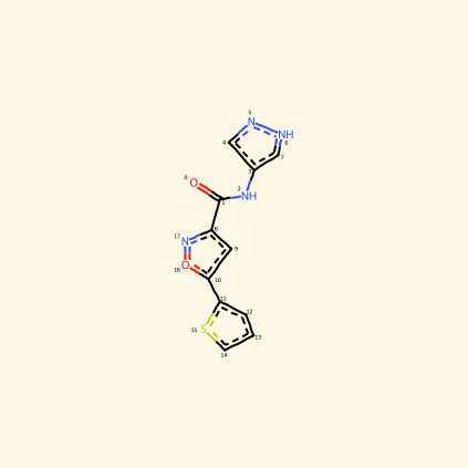 O=C(Nc1cn[nH]c1)c1cc(-c2cccs2)on1